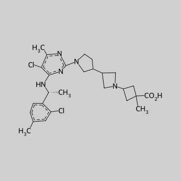 Cc1ccc([C@@H](C)Nc2nc(N3CCC(C4CN(C5CC(C)(C(=O)O)C5)C4)C3)nc(C)c2Cl)c(Cl)c1